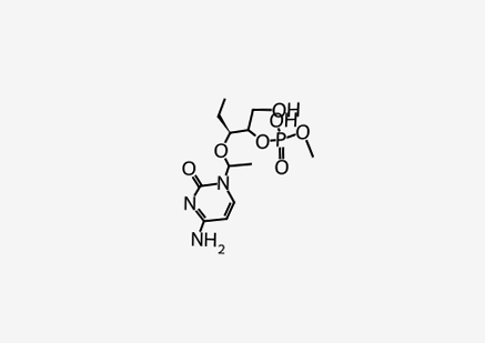 CC[C@H](OC(C)n1ccc(N)nc1=O)C(CO)OP(=O)(O)OC